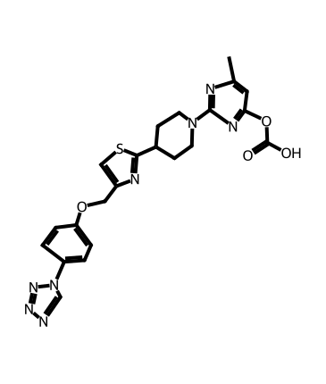 Cc1cc(OC(=O)O)nc(N2CCC(c3nc(COc4ccc(-n5cnnn5)cc4)cs3)CC2)n1